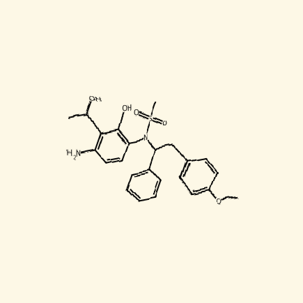 COc1ccc(CC(c2ccccc2)N(c2ccc(N)c(C(C)O)c2O)S(C)(=O)=O)cc1